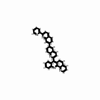 c1ccc(-c2ccc3ccc(-c4ccc5nc(-c6c7ccccc7nc7c6ccc6cccnc67)ccc5c4)cc3n2)nc1